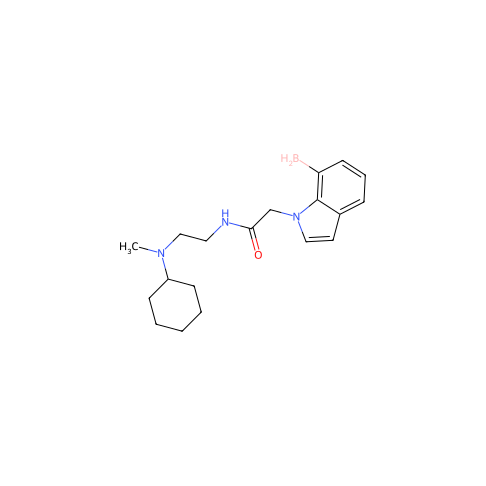 Bc1cccc2ccn(CC(=O)NCCN(C)C3CCCCC3)c12